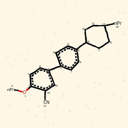 CCCOc1ccc(-c2ccc(C3CCC(CCC)CC3)cc2)cc1C#N